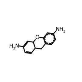 NC1=CC2Oc3cc(N)ccc3CC2C=C1